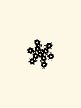 c1ccc(N(c2ccc3sc4ccccc4c3c2)c2cc3c4ccccc4oc3c3c2c2cccc4c5c(N(c6ccccc6)c6ccc7sc8ccccc8c7c6)cc6c7ccccc7oc6c5n3c24)cc1